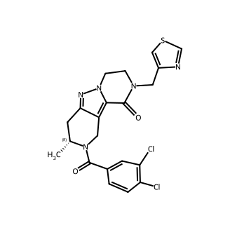 C[C@@H]1Cc2nn3c(c2CN1C(=O)c1ccc(Cl)c(Cl)c1)C(=O)N(Cc1cscn1)CC3